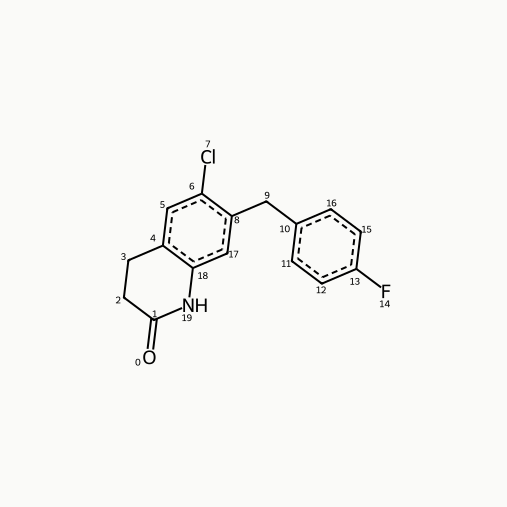 O=C1CCc2cc(Cl)c(Cc3ccc(F)cc3)cc2N1